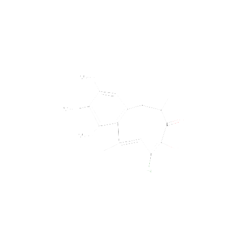 COc1cc2c(c(OC)c1OC)/C(C)=C/C(Br)=C(/O)C(=O)C(C)C2